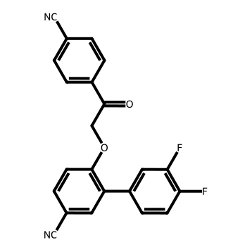 N#Cc1ccc(C(=O)COc2ccc(C#N)cc2-c2ccc(F)c(F)c2)cc1